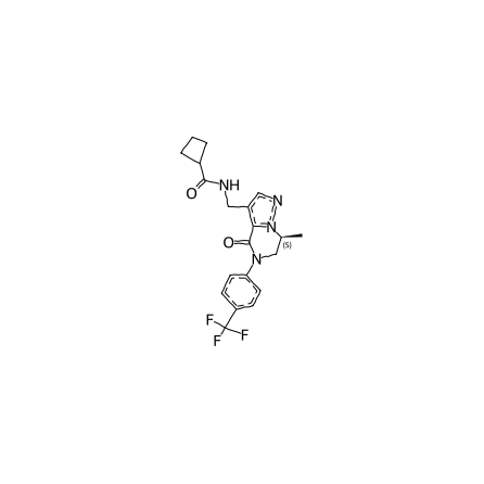 C[C@H]1CN(c2ccc(C(F)(F)F)cc2)C(=O)c2c(CNC(=O)C3CCC3)cnn21